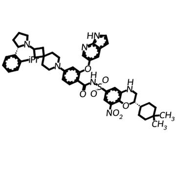 CC(C)c1ccccc1[C@@H]1CCCN1C1CC2(CCN(c3ccc(C(=O)NS(=O)(=O)c4cc5c(c([N+](=O)[O-])c4)O[C@@H](C4CCC(C)(C)CC4)CN5)c(Oc4cnc5[nH]ccc5c4)c3)CC2)C1